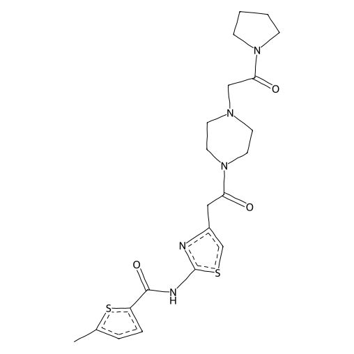 Cc1ccc(C(=O)Nc2nc(CC(=O)N3CCN(CC(=O)N4CCCC4)CC3)cs2)s1